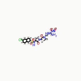 CC(C)N(CCN/C(N)=[N+](\[O-])N=O)C(=O)[C@H](C)N1CC[C@H](NS(=O)(=O)c2ccc3cc(Cl)ccc3c2)C1=O